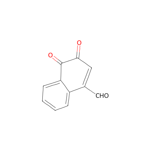 O=CC1=CC(=O)C(=O)c2ccccc21